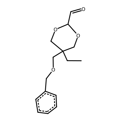 CCC1(COCc2ccccc2)COC(C=O)OC1